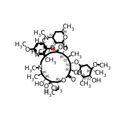 CC[C@H]1OC(=O)[C@H](C)[C@@H](O[C@H]2C[C@@](C)(OC)[C@@H](O)[C@H](C)O2)[C@H](C)[C@@H](O[C@@H]2O[C@H](C)C[C@H](N(C)C)[C@H]2Oc2ccc(OC)nc2C)[C@](C)(O)C[C@@H](C)CN(C)[C@H](C)[C@@H](O)[C@]1(C)O